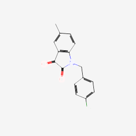 Cc1ccc2c(c1)C(=O)C(=O)N2Cc1ccc(Br)cc1